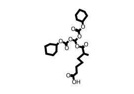 CC(CCCCC(=O)O)C(=O)OC(OC(=O)OC1CCCCC1)OC(=O)OC1CCCCC1